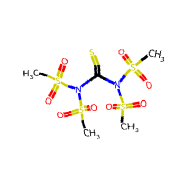 CS(=O)(=O)N(C(=S)N(S(C)(=O)=O)S(C)(=O)=O)S(C)(=O)=O